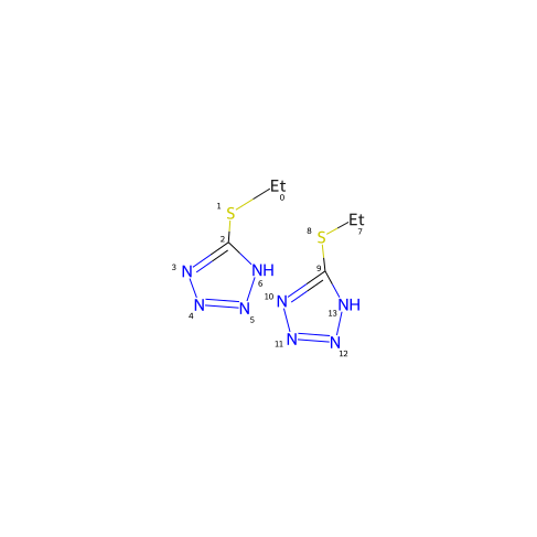 CCSc1nnn[nH]1.CCSc1nnn[nH]1